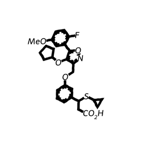 COc1ccc(F)c(-c2onc(COc3cccc(C(CC(=O)O)SC4CC4)c3)c2OC2CCCC2)c1